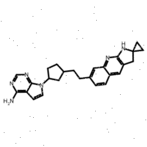 Nc1ncnc2c1ccn2C1CCC(CCc2ccc3cc4c(nc3c2)NC2(CC2)C4)C1